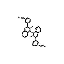 COc1cccc(-c2cc3ccccc3c(-c3c(C)c(-c4cccc(OC)c4)cc4ccccc34)c2C)c1